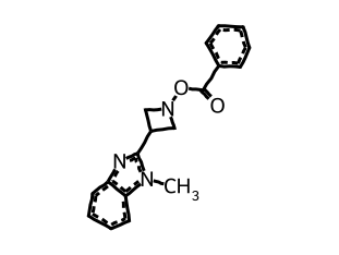 Cn1c(C2CN(OC(=O)c3ccccc3)C2)nc2ccccc21